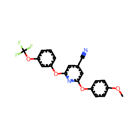 COc1ccc(Oc2cc(C#N)cc(Oc3cccc(OC(F)(F)F)c3)n2)cc1